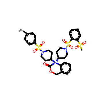 CCCc1ccc(S(=O)(=O)N2CCC([N+]3(C4CCN(S(=O)(=O)c5ccccc5S(C)(=O)=O)CC4)C(=O)OCc4ccccc43)CC2)cc1